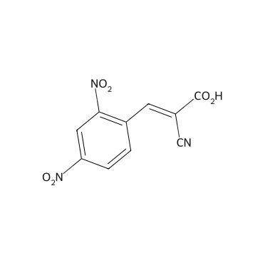 N#C/C(=C\c1ccc([N+](=O)[O-])cc1[N+](=O)[O-])C(=O)O